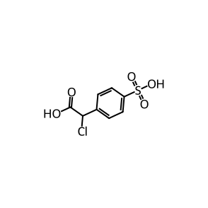 O=C(O)C(Cl)c1ccc(S(=O)(=O)O)cc1